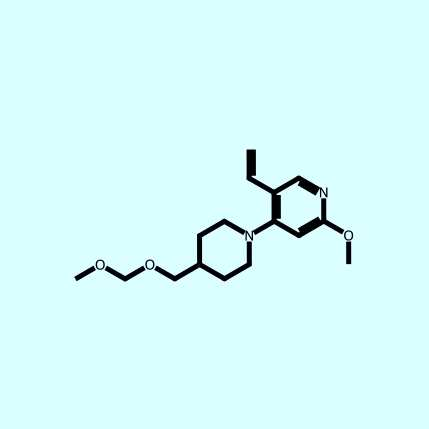 C=Cc1cnc(OC)cc1N1CCC(COCOC)CC1